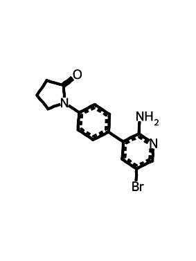 Nc1ncc(Br)cc1-c1ccc(N2CCCC2=O)cc1